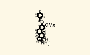 COc1cc2c(cc1OCc1ccccc1)CC[C@@H]1[C@@H]2CC[C@]2(C)[C@@H](N)CC[C@@H]12